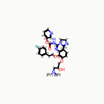 CC(C)N(C[C@@H](O)COc1ccc2c(c1OCCc1ccc(F)cc1)N=C(NC(=O)Oc1cccnc1)N1CCN=C21)C(C)C